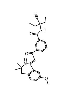 C#CC(CC)(CC)NC(=O)c1cccc(C(=O)C=C2NC(C)(C)Cc3ccc(OC)cc32)c1